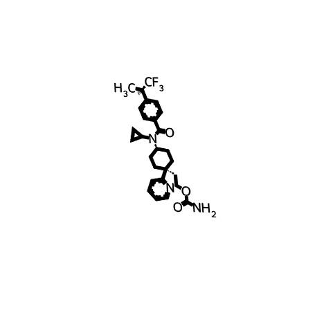 C[C@H](c1ccc(C(=O)N(C2CC2)[C@H]2CC[C@](CCOC(N)=O)(c3ccccn3)CC2)cc1)C(F)(F)F